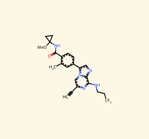 C#Cc1cn2c(-c3ccc(C(=O)NC4(OC)CC4)c(C)c3)cnc2c(NCCC(F)(F)F)n1